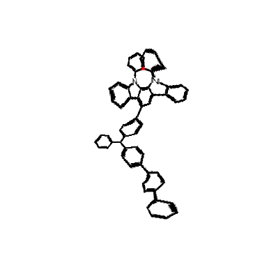 c1ccc(-c2ccc(-c3ccc(C(c4ccccc4)c4ccc(-c5cc6c7ccccc7n(-c7ccccc7)c6c6c5c5ccccc5n6-c5ccccc5)cc4)cc3)cc2)cc1